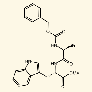 COC(=O)[C@H](Cc1c[nH]c2ccccc12)NC(=O)[C@@H](NC(=O)OCc1ccccc1)C(C)C